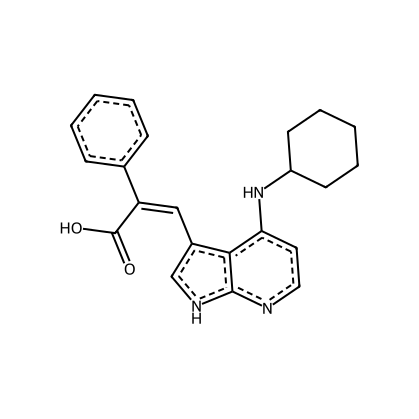 O=C(O)C(=Cc1c[nH]c2nccc(NC3CCCCC3)c12)c1ccccc1